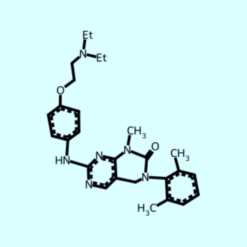 CCN(CC)CCOc1ccc(Nc2ncc3c(n2)N(C)C(=O)N(c2c(C)cccc2C)C3)cc1